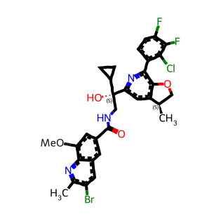 COc1cc(C(=O)NC[C@](O)(c2cc3c(c(-c4ccc(F)c(F)c4Cl)n2)OC[C@H]3C)C2CC2)cc2cc(Br)c(C)nc12